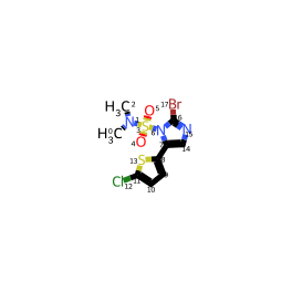 CN(C)S(=O)(=O)n1c(-c2ccc(Cl)s2)cnc1Br